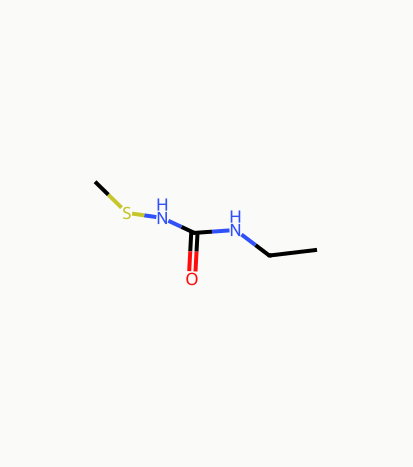 CCNC(=O)NSC